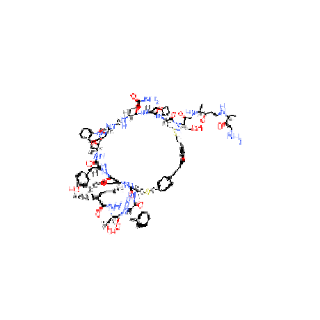 CC(=O)N[C@@H](CC(C)C)C(=O)N[C@H](C(=O)N[C@@H](Cc1ccccc1)C(=O)N[C@]1(C)CSCc2ccc(cc2)-c2ccc(cc2)CSC[C@@](C)(C(=O)N[C@@H](CO)C(=O)CN[C@@H](C)C(=O)CCN[C@@H](C)C(=O)CN)NC(=O)[C@H](CC2CCC2)NC(=O)[C@H](CCC(N)=O)NCN[C@@H](C)C(=O)CC(=O)[C@H](Cc2c[nH]c3ccccc23)NC(=O)[C@H](Cc2ccc(O)cc2)NC(=O)[C@H](CCC(=O)O)NC1=O)[C@@H](C)O